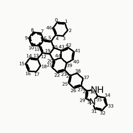 C1=CCCC(C2=c3ccccc3=C(C3=CC=CCC3)C3C4=CC=C(C5=CC=C(C6=CN7C=CC=CC7N6)CC5)C5C=CC=C(C45)C23)=C1